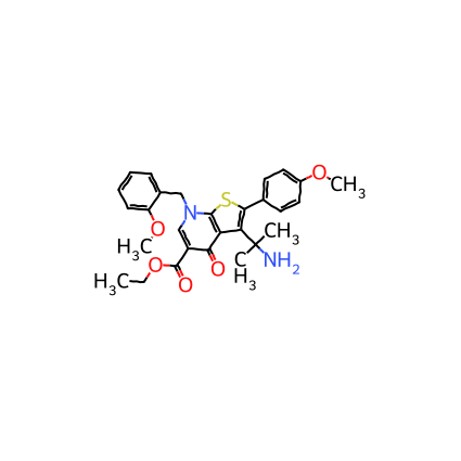 CCOC(=O)c1cn(Cc2ccccc2OC)c2sc(-c3ccc(OC)cc3)c(C(C)(C)N)c2c1=O